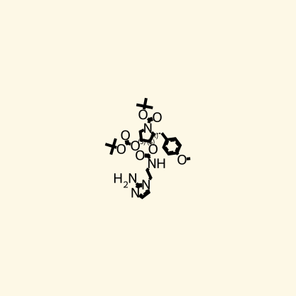 COc1ccc(C[C@@H]2[C@H](OC(=O)NCCn3ccnc3N)[C@@H](OC(=O)OC(C)(C)C)CN2C(=O)OC(C)(C)C)cc1